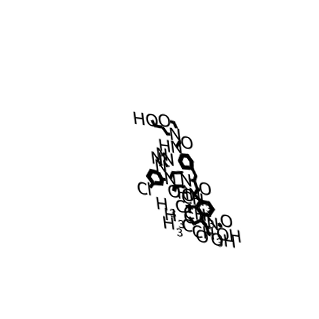 CC(C)(C)c1c(NC(=O)C(Cc2ccc(NC(=O)N3CCOC(CO)C3)cc2)N2CCN(c3cc(Cl)ccc3-n3cnnn3)C(=O)C2=O)ccc2c1c(C(C)(C)C)c(C(=O)O)n2C(=O)O